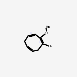 CCC(C)OC1=C(\C#N)CC=CC/C=C\1